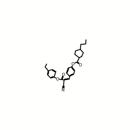 CCCC1CCC(C(=O)Oc2ccc(C=C(C#N)C(=O)Oc3ccc(CC)cc3)cc2)CC1